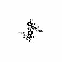 Cc1c(Cl)cccc1C1(Nc2ccc3c(c2)N(C(=O)OC(C)(C)C)C(=O)C3(C)C)CN(C(=O)OC(C)(C)C)C1